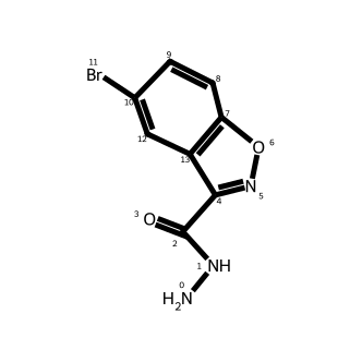 NNC(=O)c1noc2ccc(Br)cc12